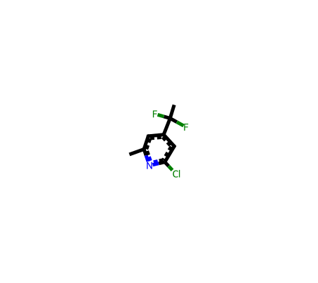 Cc1cc(C(C)(F)F)cc(Cl)n1